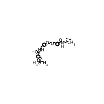 CC(C)CCNC(=O)c1cccc(COCCOc2ccc(CCNC[C@H](O)c3ccc4c(c3)COC(C)(C)O4)cc2)c1